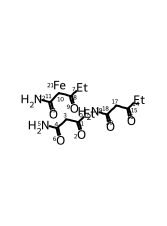 CCC(=O)CC(N)=O.CCC(=O)CC(N)=O.CCC(=O)CC(N)=O.[Fe]